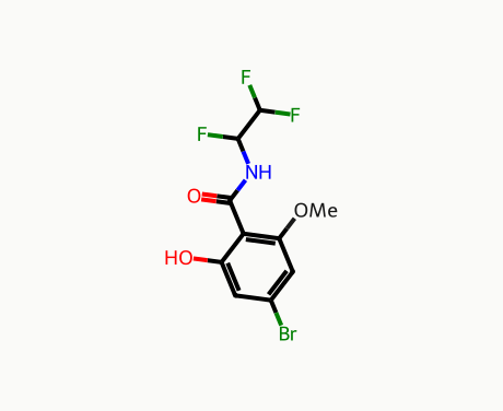 COc1cc(Br)cc(O)c1C(=O)NC(F)C(F)F